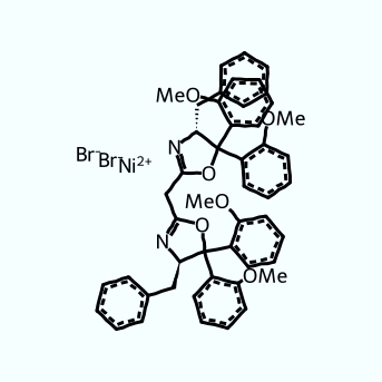 COc1ccccc1C1(c2ccccc2OC)OC(CC2=N[C@H](Cc3ccccc3)C(c3ccccc3OC)(c3ccccc3OC)O2)=N[C@@H]1Cc1ccccc1.[Br-].[Br-].[Ni+2]